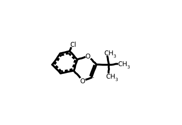 CC(C)(C)C1=[C]Oc2cccc(Cl)c2O1